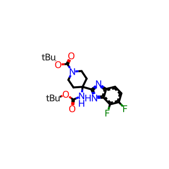 CC(C)(C)OC(=O)NC1(c2nc3ccc(F)c(F)c3[nH]2)CCN(C(=O)OC(C)(C)C)CC1